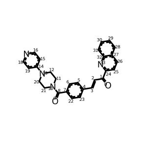 O=C(C=Cc1ccc(C(=O)N2CCN(c3ccncc3)CC2)cc1)c1ccc2ccccc2n1